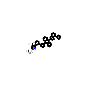 CC1=NC2OC3=C(C=CCC3c3cccc(C4=c5ccccc5=C(c5ccc6c(-c7ccccc7)cccc6c5)C5=CC#CCC54)c3)C2(C)C=C1